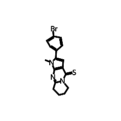 Cn1c(-c2ccc(Br)cc2)cc2c(=S)n3c(nc21)CCCC3